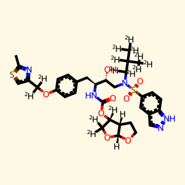 [2H]C([2H])(Oc1ccc(C[C@H](NC(=O)O[C@]2([2H])[C@@H]3CCO[C@@H]3OC2([2H])[2H])[C@H](O)CN(C([2H])([2H])C([2H])(C([2H])([2H])[2H])C([2H])([2H])[2H])S(=O)(=O)c2ccc3[nH]ncc3c2)cc1)c1csc(C)n1